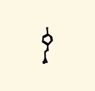 Fc1ccc(SCC2CO2)cc1